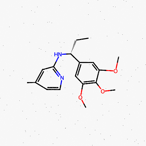 CC[C@@H](Nc1cc(C)ccn1)c1cc(OC)c(OC)c(OC)c1